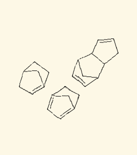 C1=C2CCC(=C1)C2.C1=C2CCC(C1)C2.C1=CC2C3C=CC(C3)C2C1